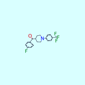 O=C(c1ccc(F)cc1)C1CCN(c2ccc(C(F)(F)F)cc2)CC1